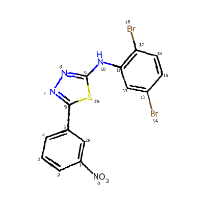 O=[N+]([O-])c1cccc(-c2nnc(Nc3cc(Br)ccc3Br)s2)c1